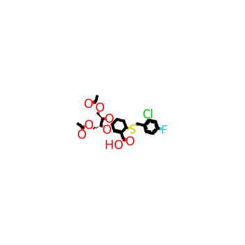 CC(=O)OC[C@H]1OC2(C=C(C(=O)O)C(SCc3ccc(F)cc3Cl)CC2)O[C@@H]1COC(C)=O